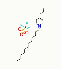 CCCCCCCCCCCC[n+]1ccc(CCC)cc1.O=S(=O)([O-])C(F)(F)F